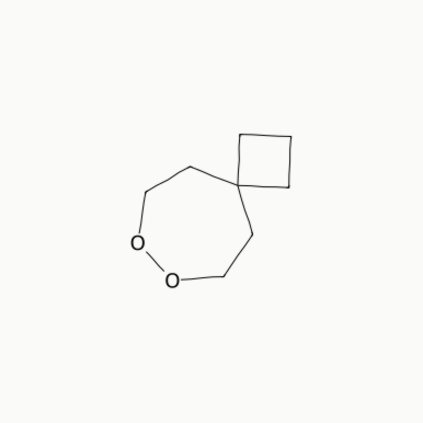 C1CC2(C1)CCOOCC2